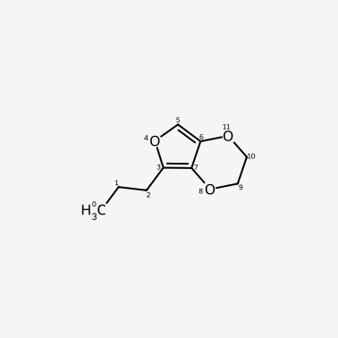 CCCc1occ2c1OCCO2